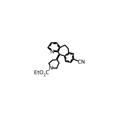 CCOC(=O)N1CCC(=C2c3ccc(C#N)cc3CCc3cccnc32)CC1